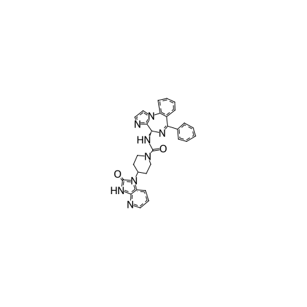 O=C(N[C@@H]1N=C(c2ccccc2)c2ccccc2-n2ccnc21)N1CCC(n2c(=O)[nH]c3ncccc32)CC1